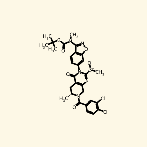 C[C@@H]1Cc2c(nc([S+](C)[O-])n(-c3ccc4c(N(C)C(=O)OC(C)(C)C)noc4c3)c2=O)CN1C(=O)c1ccc(Cl)c(Cl)c1